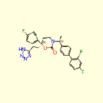 C[C@@H](c1ccc(-c2ccc(F)cc2F)cc1)N1CC[C@](CCc2nnn[nH]2)(c2ccc(F)cc2)OC1=O